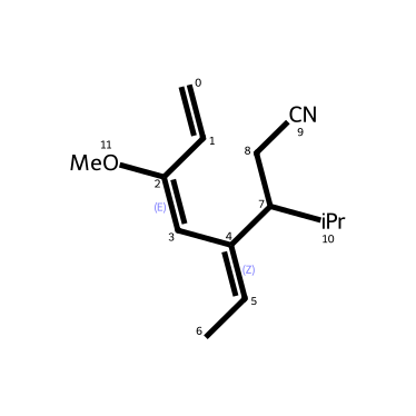 C=C/C(=C\C(=C/C)C(CC#N)C(C)C)OC